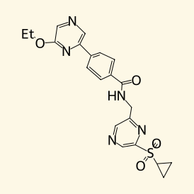 CCOc1cncc(-c2ccc(C(=O)NCc3cncc(S(=O)(=O)C4CC4)n3)cc2)n1